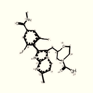 CNC(=O)c1cc(F)c(-c2nc3nc(C)ccn3c2CC2CN(C(=O)O)CCO2)c(F)c1